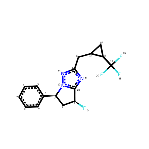 F[C@H]1C[C@@H](c2ccccc2)n2nc(CC3CC3C(F)(F)F)nc21